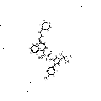 Cc1ccc(-n2nc(C(C)(C)C)cc2NC(=O)C(O)c2ccc(OCCN3CCOCC3)c3ccccc23)cc1